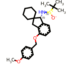 COc1ccc(COc2cccc3c2CC2(CCCCC2)[C@@H]3N[S@+]([O-])C(C)(C)C)cc1